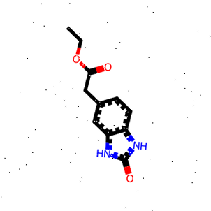 CCOC(=O)Cc1ccc2[nH]c(=O)[nH]c2c1